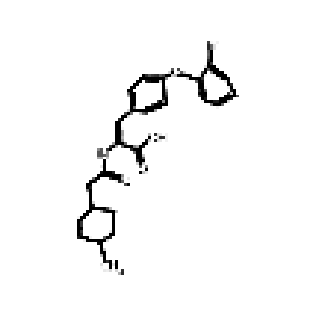 CC1CCC(CC(=O)N/C(=C/c2ccc(Oc3ccccc3Br)cc2)C(=O)O)CC1